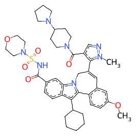 COc1ccc2c(c1)C=C(c1c(C(=O)N3CCC(N4CCCC4)CC3)cnn1C)Cn1c-2c(C2CCCCC2)c2ccc(C(=O)NS(=O)(=O)N3CCOCC3)cc21